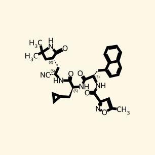 Cc1cc(C(=O)N[C@@H](Cc2cccc3ccccc23)C(=O)N[C@@H](CC2CC2)C(=O)N[C@H](C#N)C[C@@H]2CC(C)(C)NC2=O)no1